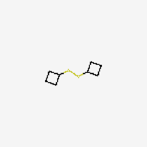 C1CC(SSC2CCC2)C1